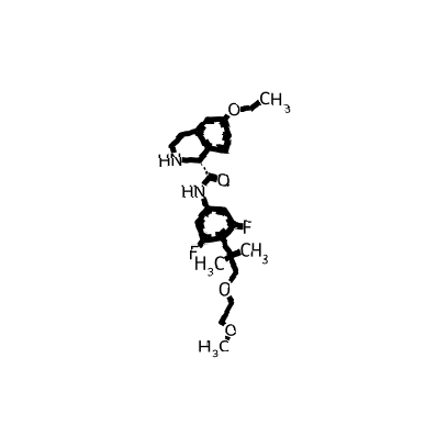 CCOc1ccc2c(c1)CCN[C@H]2C(=O)Nc1cc(F)c(C(C)(C)COCCOC)c(F)c1